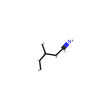 CCC(C)[CH]C#N